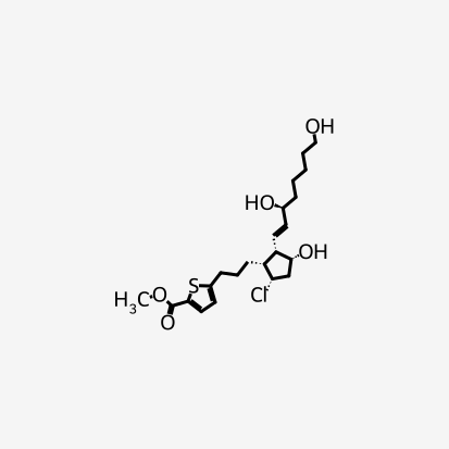 COC(=O)c1ccc(CCC[C@@H]2[C@H](C=C[C@@H](O)CCCCCO)[C@H](O)C[C@@H]2Cl)s1